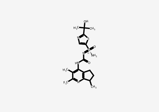 Cc1c(C(F)(F)F)nc2c(c1NC(=O)N=[S@](N)(=O)c1cnc(C(C)(C)O)s1)CCC2C